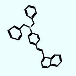 C(=C\c1cccc2ccccc12)/c1ccc(N(Cc2ccccc2)Cc2ccccc2)cc1